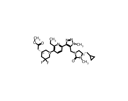 CCc1nc(-c2nnn(C)c2CN2C[C@H](CC3CC3)N(C)C2=O)ccc1N1C[C@@H](CC(=O)OC)CC(F)(F)C1